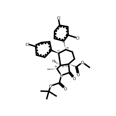 COC(=O)[C@@]12CC[C@@H](c3ccc(Cl)cc3Cl)[C@H](c3ccc(Cl)cc3)[C@@H]1[C@@H](C)N(C(=O)OC(C)(C)C)C2=O